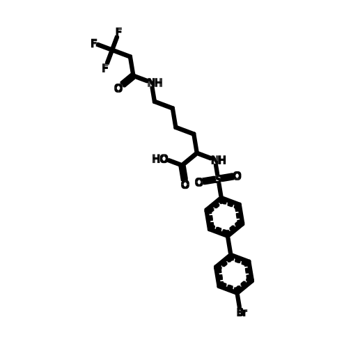 O=C(CC(F)(F)F)NCCCCC(NS(=O)(=O)c1ccc(-c2ccc(Br)cc2)cc1)C(=O)O